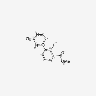 COC(=O)c1cccc(-c2ccnc(Cl)n2)c1F